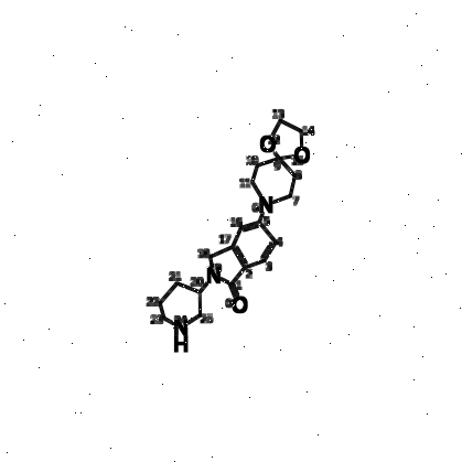 O=C1c2ccc(N3CCC4(CC3)OCCO4)cc2CN1C1CCCNC1